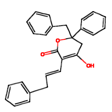 O=C1OC(Cc2ccccc2)(c2ccccc2)CC(O)=C1C=CCc1ccccc1